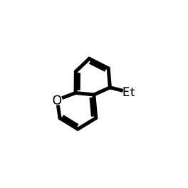 CCC1C=CC=C2OC=CC=C21